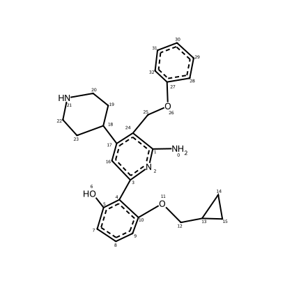 Nc1nc(-c2c(O)cccc2OCC2CC2)cc(C2CCNCC2)c1COc1ccccc1